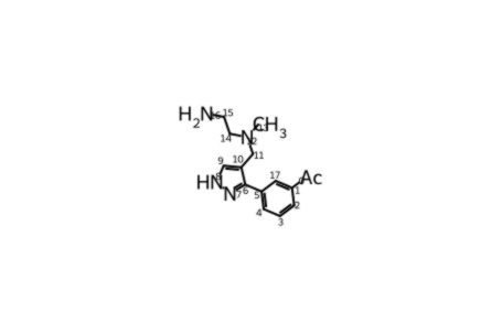 CC(=O)c1cccc(-c2n[nH]cc2CN(C)CCN)c1